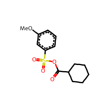 COc1cccc(S(=O)(=O)OC(=O)C2CCCCC2)c1